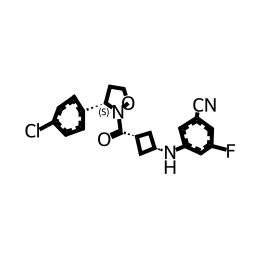 N#Cc1cc(F)cc(N[C@H]2C[C@@H](C(=O)N3OCC[C@H]3c3ccc(Cl)cc3)C2)c1